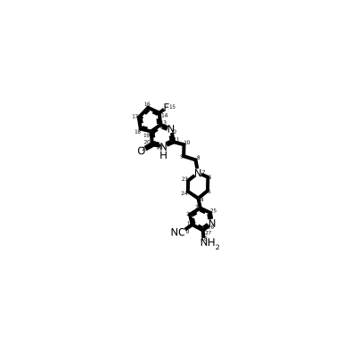 N#Cc1cc(C2CCN(CCCc3nc4c(F)cccc4c(=O)[nH]3)CC2)cnc1N